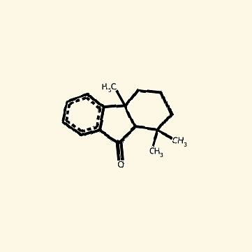 CC1(C)CCCC2(C)c3ccccc3C(=O)C12